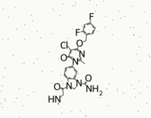 CNCC(=O)N1CN(C(N)=O)c2cc(-n3c(C)nc(OCc4ccc(F)cc4F)c(Cl)c3=O)ccc21